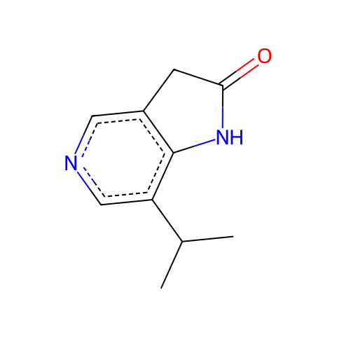 CC(C)c1cncc2c1NC(=O)C2